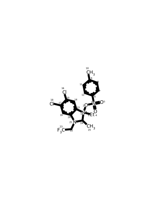 CC[N+]1(OS(=O)(=O)c2ccc(C)cc2)c2cc(Cl)c(Cl)cc2N(CC(F)(F)F)C1C